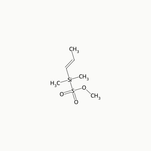 CC=C[Si](C)(C)S(=O)(=O)OC